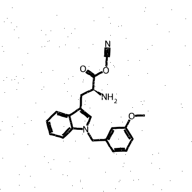 COc1cccc(Cn2cc(C[C@H](N)C(=O)OC#N)c3ccccc32)c1